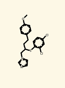 COc1ccc(CCC(Cn2ccnc2)Sc2ccc(Cl)cc2Cl)cc1